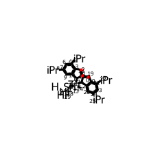 CC1=Cc2c(C(C)C)cc(C(C)C)cc2[CH]1[Zr]([CH3])([CH3])(=[SiH2])[CH]1C(C)=Cc2c(C(C)C)cc(C(C)C)cc21.F.F